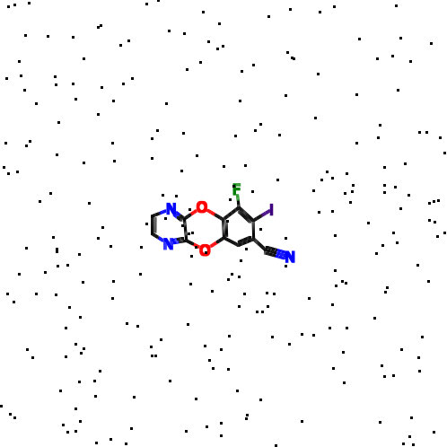 N#Cc1cc2c(c(F)c1I)Oc1nccnc1O2